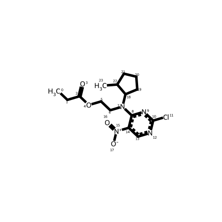 CCC(=O)OCCN(c1nc(Cl)ncc1[N+](=O)[O-])C1CCCC1C